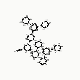 N#Cc1cc(-c2ccc(-c3nc(-c4ccccc4)nc(-c4ccccc4)n3)cc2)cc(-c2ccccc2-c2ccccc2-c2nc(-c3ccccc3)nc(-c3ccccc3)n2)c1